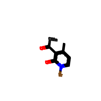 COC(=O)c1c(C)ccn(Br)c1=O